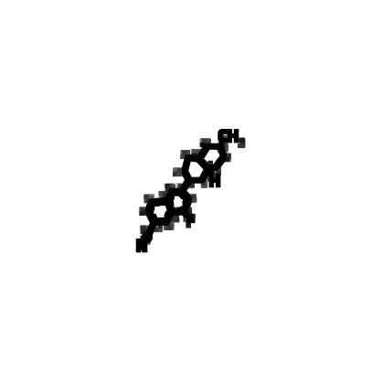 C[C@@H]1CC[C@@H]2CC(c3cc(F)c4cc(C#N)ccc4c3)CCC2C1